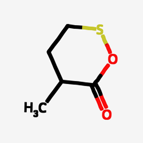 CC1CCSOC1=O